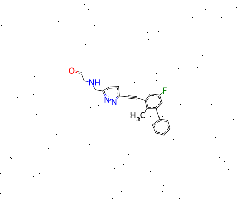 Cc1c(C#Cc2ccc(CNCC=O)nn2)cc(F)cc1-c1ccccc1